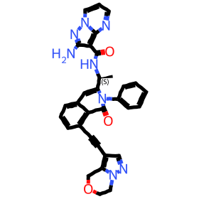 C[C@H](NC(=O)c1c(N)nn2cccnc12)c1cc2cccc(C#Cc3cnn4c3COCC4)c2c(=O)n1-c1ccccc1